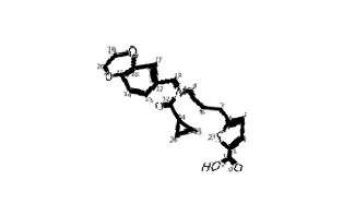 O=C(O)c1ccc(CCCN(Cc2ccc3c(c2)OCCO3)C(=O)C2CC2)s1